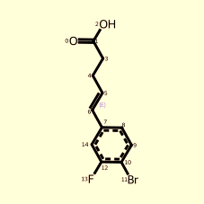 O=C(O)CC/C=C/c1ccc(Br)c(F)c1